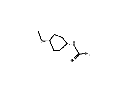 CO[C@H]1CC[C@H](NC(=N)N)CC1